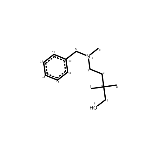 CN(CCC(C)(C)CO)Cc1ccccc1